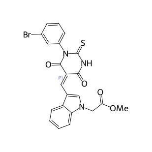 COC(=O)Cn1cc(/C=C2\C(=O)NC(=S)N(c3cccc(Br)c3)C2=O)c2ccccc21